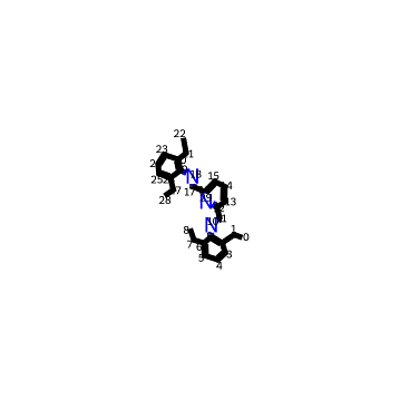 CCc1cccc(CC)c1N=Cc1cccc(C=Nc2c(CC)cccc2CC)n1